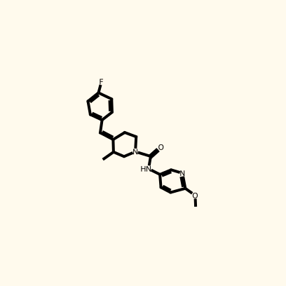 COc1ccc(NC(=O)N2CCC(=Cc3ccc(F)cc3)C(C)C2)cn1